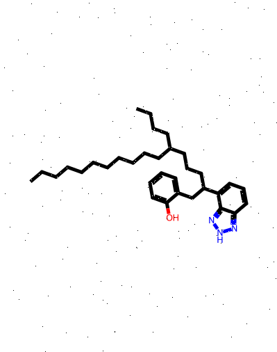 CCCCCCCCCCCC(CCCC)CCCC(Cc1ccccc1O)c1cccc2n[nH]nc12